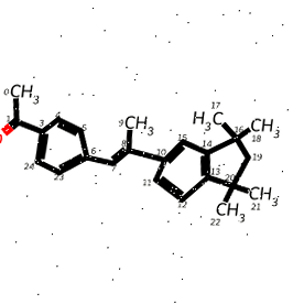 CC(=O)c1ccc(C=C(C)c2ccc3c(c2)C(C)(C)CC3(C)C)cc1